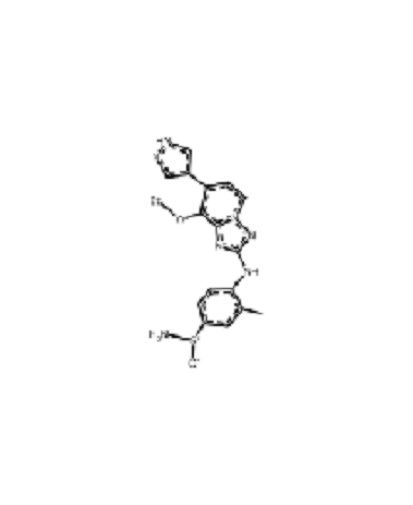 CCOc1c(-c2cn[nH]c2)ccn2nc(Nc3ccc([S+](N)[O-])cc3C)nc12